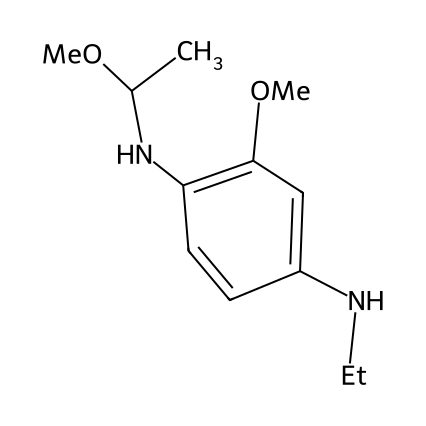 CCNc1ccc(NC(C)OC)c(OC)c1